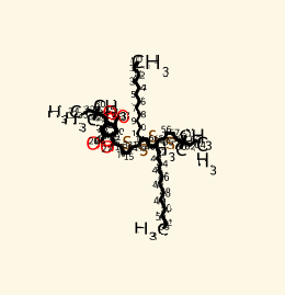 CCCCCCCCCCCCc1c(-c2ccc(C3=c4cc5c(cc4C(=O)O3)=C(C(C)(C)CCC)OC5=O)s2)sc2c(CCCCCCCCCCCC)c(-c3ccc(C(C)(C)CCC)s3)sc12